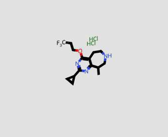 CC1CNCCc2c(OCCC(F)(F)F)nc(C3CC3)nc21.Cl.Cl